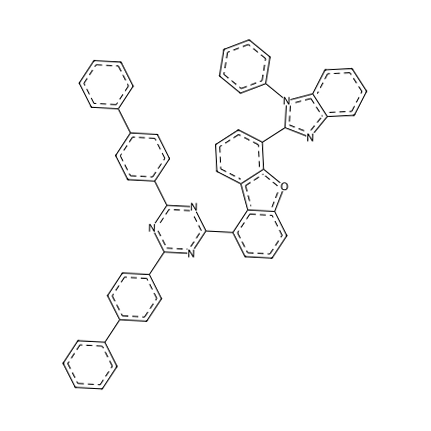 c1ccc(-c2ccc(-c3nc(-c4ccc(-c5ccccc5)cc4)nc(-c4cccc5oc6c(-c7nc8ccccc8n7-c7ccccc7)cccc6c45)n3)cc2)cc1